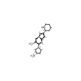 Cc1cn2nc([C@@H]3CCCCN3)cc2nc1N1CC[C@H](N)C1